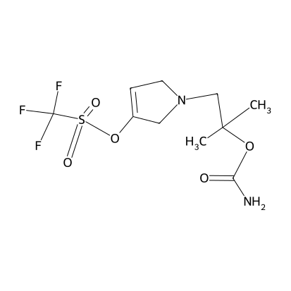 CC(C)(CN1CC=C(OS(=O)(=O)C(F)(F)F)C1)OC(N)=O